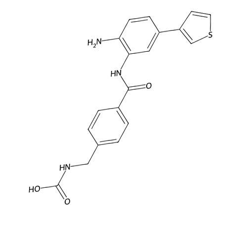 Nc1ccc(-c2ccsc2)cc1NC(=O)c1ccc(CNC(=O)O)cc1